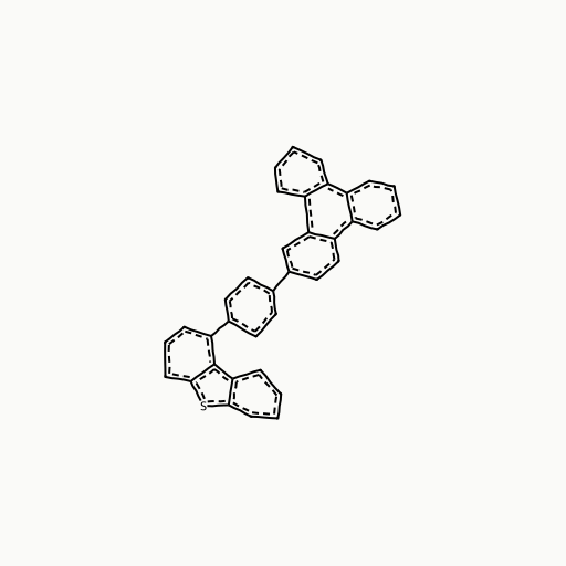 c1ccc2c(c1)sc1cccc(-c3ccc(-c4ccc5c6ccccc6c6ccccc6c5c4)cc3)c12